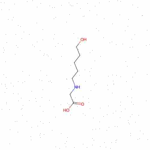 O=C(O)CNCCCCCO